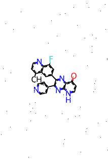 Cc1ccnc2c(F)cc(-c3nc4c(=O)cc[nH]c4nc3-c3ccncc3)cc12